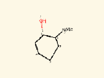 [CH2]NC1CCCC[C@@H]1O